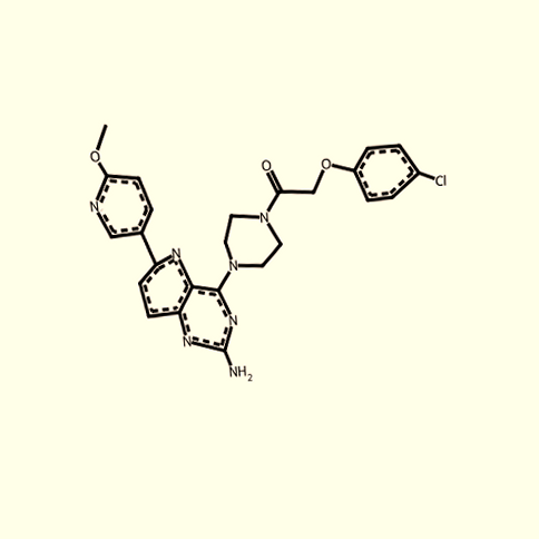 COc1ccc(-c2ccc3nc(N)nc(N4CCN(C(=O)COc5ccc(Cl)cc5)CC4)c3n2)cn1